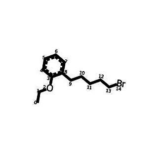 CCOc1ccccc1CCCCCBr